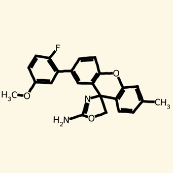 COc1ccc(F)c(-c2ccc3c(c2)C2(COC(N)=N2)c2ccc(C)cc2O3)c1